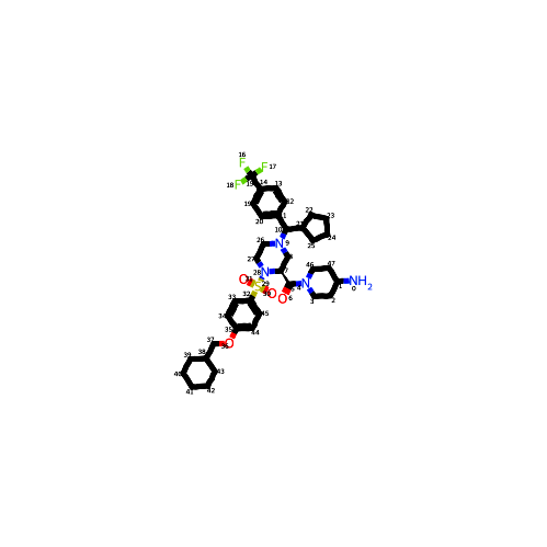 NC1CCN(C(=O)[C@@H]2CN(C(c3ccc(C(F)(F)F)cc3)C3CCCC3)CCN2S(=O)(=O)c2ccc(OCC3CCCCC3)cc2)CC1